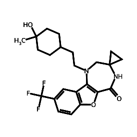 CC1(O)CCC(CCN2CC3(CC3)NC(=O)c3oc4ccc(C(F)(F)F)cc4c32)CC1